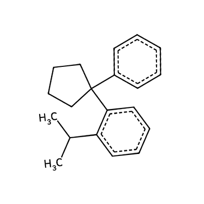 CC(C)c1ccccc1C1(c2ccccc2)CCCC1